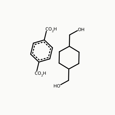 O=C(O)c1ccc(C(=O)O)cc1.OCC1CCC(CO)CC1